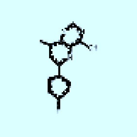 Cc1cc(-c2ccc(F)cc2)nc2c(O)ncnc12